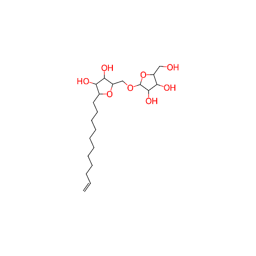 C=CCCCCCCCCCC1OC(COC2OC(CO)C(O)C2O)C(O)C1O